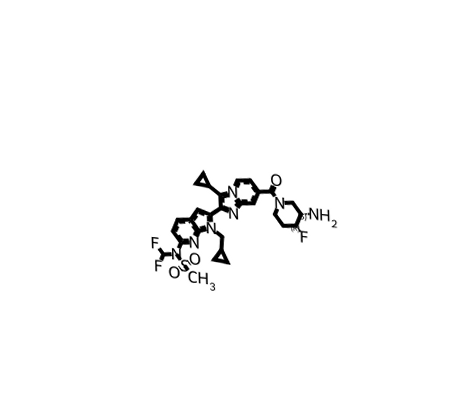 CS(=O)(=O)N(c1ccc2cc(-c3nc4cc(C(=O)N5CC[C@@H](F)[C@@H](N)C5)ccn4c3C3CC3)n(CC3CC3)c2n1)C(F)F